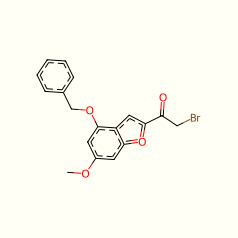 COc1cc(OCc2ccccc2)c2cc(C(=O)CBr)oc2c1